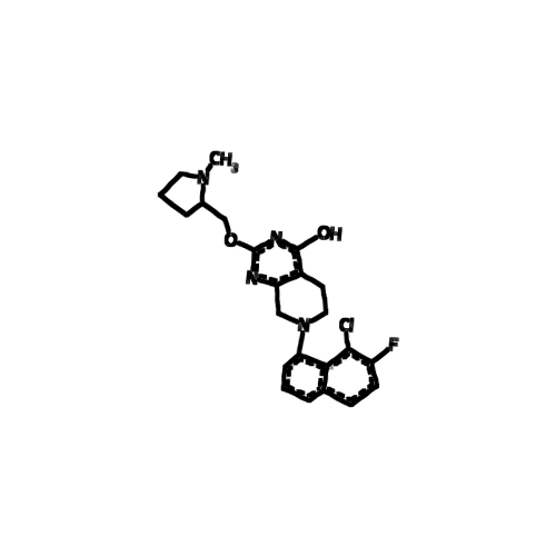 CN1CCCC1COc1nc(O)c2c(n1)CN(c1cccc3ccc(F)c(Cl)c13)CC2